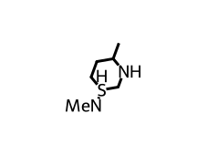 CN[SH]1CCC(C)NC1